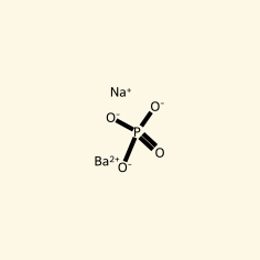 O=P([O-])([O-])[O-].[Ba+2].[Na+]